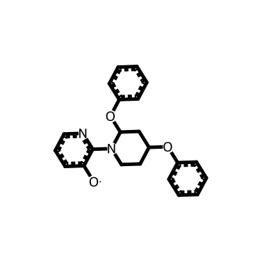 [O]c1cccnc1N1CCC(Oc2ccccc2)CC1Oc1ccccc1